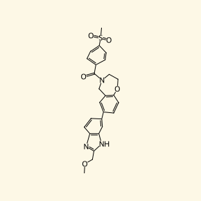 COCc1nc2ccc(-c3ccc4c(c3)CN(C(=O)c3ccc(S(C)(=O)=O)cc3)CCO4)cc2[nH]1